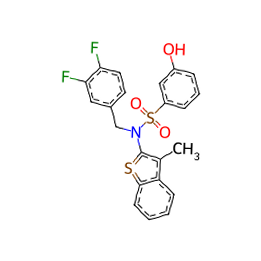 Cc1c(N(Cc2ccc(F)c(F)c2)S(=O)(=O)c2cccc(O)c2)sc2ccccc12